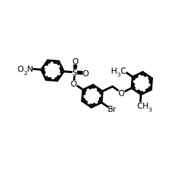 Cc1cccc(C)c1OCc1cc(OS(=O)(=O)c2ccc([N+](=O)[O-])cc2)ccc1Br